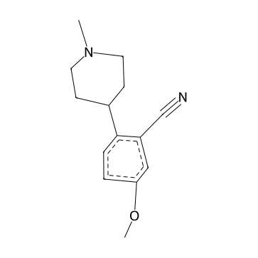 COc1ccc(C2CCN(C)CC2)c(C#N)c1